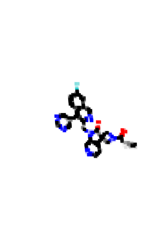 COC(=O)N1CC2(C1)C(=O)N(Cc1ncc3cc(F)ccc3c1-c1cncnc1)c1cnccc12